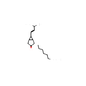 CCCCC(C)C=CC1C2CC(=O)[C@@H](CCCCCCC(=O)O)C12